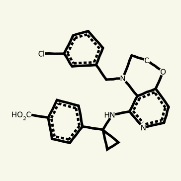 O=C(O)c1ccc(C2(Nc3nccc4c3N(Cc3cccc(Cl)c3)CCO4)CC2)cc1